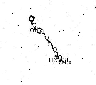 CC(C)(C)OC(=O)CCOCCOCCOCCN1CCN(C(=O)OCc2ccccc2)CC1